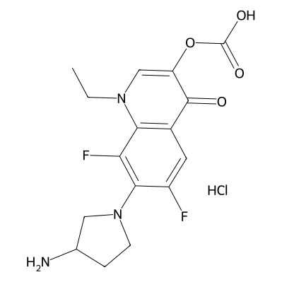 CCn1cc(OC(=O)O)c(=O)c2cc(F)c(N3CCC(N)C3)c(F)c21.Cl